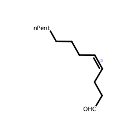 CCCCCCCC/C=C\CCC=O